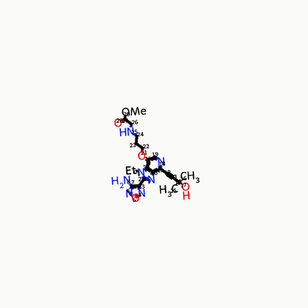 CCn1c(-c2nonc2N)nc2c(C#CC(C)(C)O)ncc(OCCCNCC(=O)OC)c21